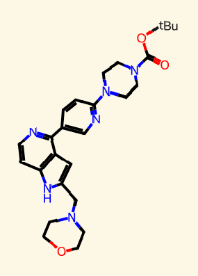 CC(C)(C)OC(=O)N1CCN(c2ccc(-c3nccc4[nH]c(CN5CCOCC5)cc34)cn2)CC1